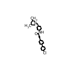 CC1CC(C)CN(Cc2ccc(NC(=O)C#Cc3ccc(-c4ccc(Cl)cc4)cc3)cc2)C1